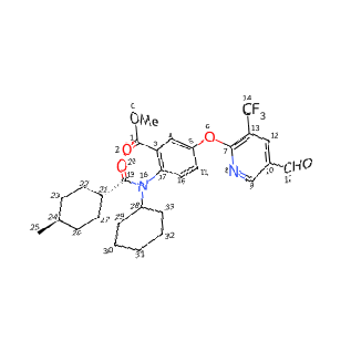 COC(=O)c1cc(Oc2ncc(C=O)cc2C(F)(F)F)ccc1N(C(=O)[C@H]1CC[C@H](C)CC1)C1CCCCC1